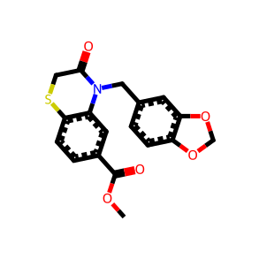 COC(=O)c1ccc2c(c1)N(Cc1ccc3c(c1)OCO3)C(=O)CS2